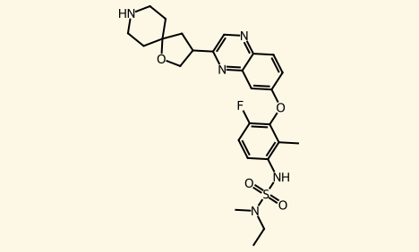 CCN(C)S(=O)(=O)Nc1ccc(F)c(Oc2ccc3ncc(C4COC5(CCNCC5)C4)nc3c2)c1C